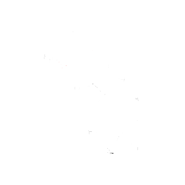 [2H]C(=C(C)C([2H])([2H])[2H])C([2H])([2H])C(C)(C)C(OC)OC